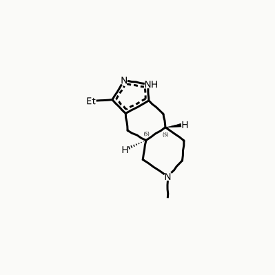 CCc1n[nH]c2c1C[C@@H]1CN(C)CC[C@H]1C2